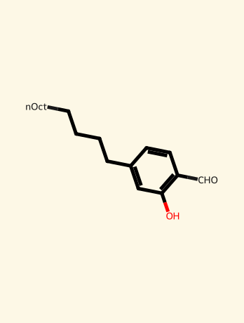 CCCCCCCCCCCCc1ccc(C=O)c(O)c1